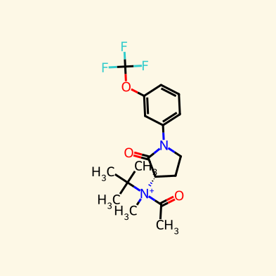 CC(=O)[N+](C)([C@H]1CCN(c2cccc(OC(F)(F)F)c2)C1=O)C(C)(C)C